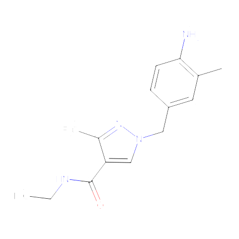 Cc1cc(Cn2cc(C(=O)NCC(F)(F)F)c(C(F)(F)F)n2)ccc1N